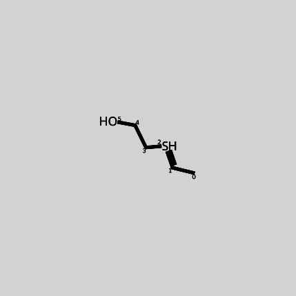 CC=[SH]CCO